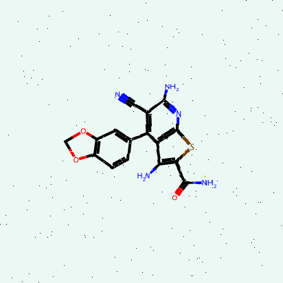 N#Cc1c(N)nc2sc(C(N)=O)c(N)c2c1-c1ccc2c(c1)OCO2